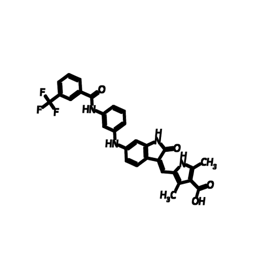 Cc1[nH]c(C=C2C(=O)Nc3cc(Nc4cccc(NC(=O)c5cccc(C(F)(F)F)c5)c4)ccc32)c(C)c1C(=O)O